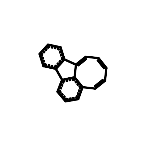 C1=C\C=C2\c3ccccc3-c3cccc(c32)\C=C/1